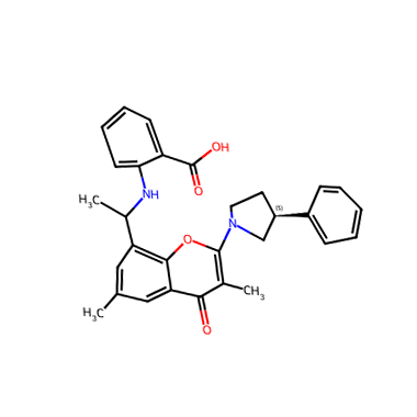 Cc1cc(C(C)Nc2ccccc2C(=O)O)c2oc(N3CC[C@@H](c4ccccc4)C3)c(C)c(=O)c2c1